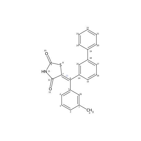 Cc1cccc(/C(=C2/SC(=O)NC2=O)c2cccc(-c3ccccc3)c2)c1